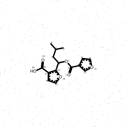 CC(C)CC(OC(=O)c1ccoc1)c1occc1C(=O)O